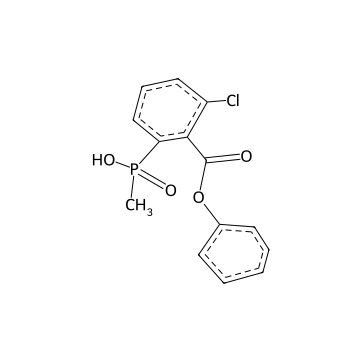 CP(=O)(O)c1cccc(Cl)c1C(=O)Oc1ccccc1